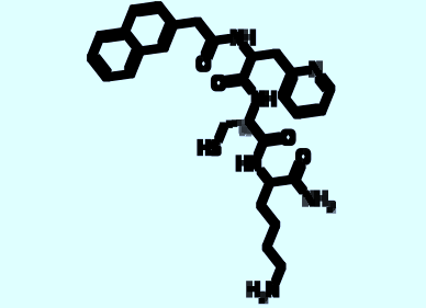 NCCCCC(NC(=O)[C@H](CS)NC(=O)C(Cc1ccccn1)NC(=O)Cc1ccc2ccccc2c1)C(N)=O